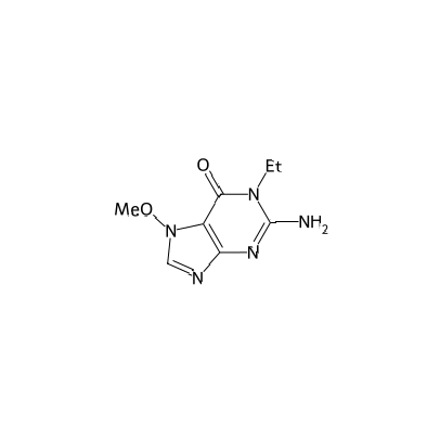 CCn1c(N)nc2ncn(OC)c2c1=O